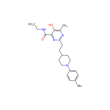 Cc1nc(CCC2CCN(c3ccc(C(C)(C)C)cc3)CC2)nc(C(=O)NCC(=O)O)c1O